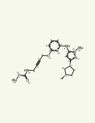 C[C@@H]1CC[C@H](c2cc(Nc3cccc(OCC#CCNC(=O)OC(C)(C)C)n3)n(C(C)(C)C)n2)C1